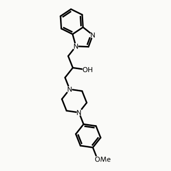 COc1ccc(N2CCN(CC(O)Cn3cnc4ccccc43)CC2)cc1